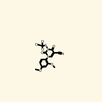 COc1ccc(-n2cc(C#N)c(=O)n(SC(Cl)(Cl)Cl)c2=O)c(OC)c1